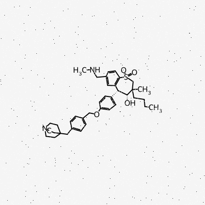 CCCCC1(C)CS(=O)(=O)c2ccc(CNC)cc2[C@@H](c2ccc(OCc3ccc(CC45CCN(CC4)CC5)cc3)cc2)[C@H]1O